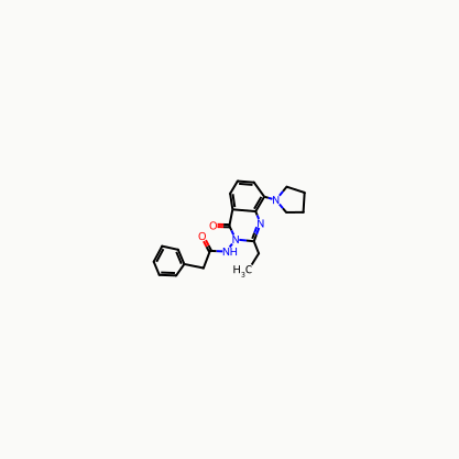 CCc1nc2c(N3CCCC3)cccc2c(=O)n1NC(=O)Cc1ccccc1